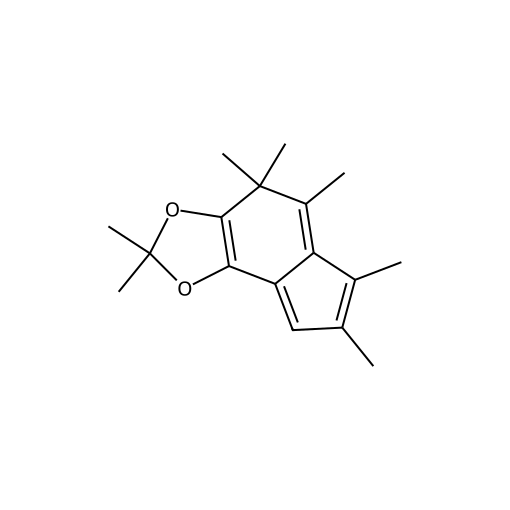 CC1=C(C)C2=C(C)C(C)(C)C3=C(OC(C)(C)O3)C2=C1